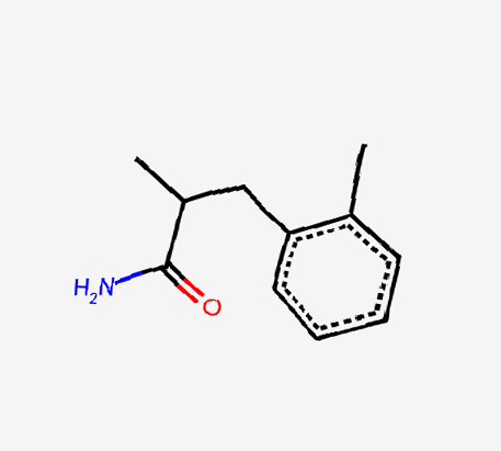 Cc1ccccc1CC(C)C(N)=O